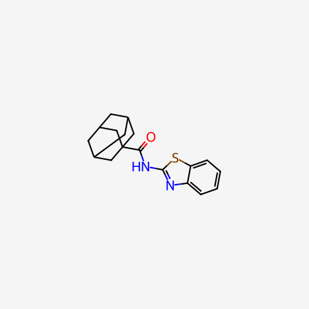 O=C(Nc1nc2ccccc2s1)C12CC3CC(CC(C3)C1)C2